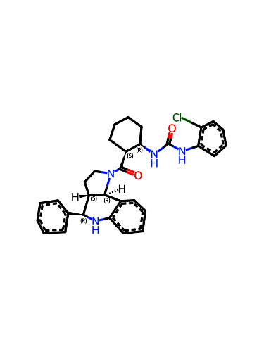 O=C(Nc1ccccc1Cl)N[C@@H]1CCCC[C@@H]1C(=O)N1CC[C@H]2[C@H](c3ccccc3)Nc3ccccc3[C@@H]21